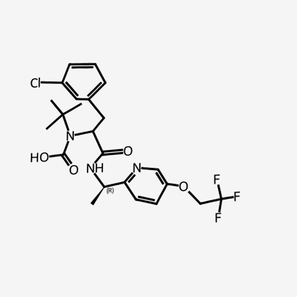 C[C@@H](NC(=O)C(Cc1cccc(Cl)c1)N(C(=O)O)C(C)(C)C)c1ccc(OCC(F)(F)F)cn1